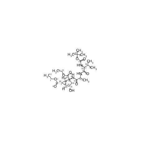 CCOC(=O)[C@H]1[C@H]2[C@@H]1[C@](NC(=O)C(C)NC(=O)[C@@H](NC(=O)OC(C)(C)C)C(C)C)(C(=O)OCC)C[C@@H]2O